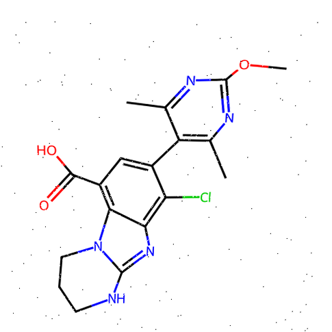 COc1nc(C)c(-c2cc(C(=O)O)c3c(nc4n3CCCN4)c2Cl)c(C)n1